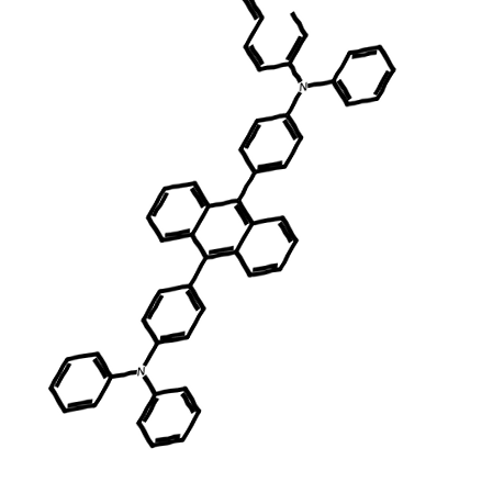 C=C/C=C\C(=C/C)N(c1ccccc1)c1ccc(-c2c3ccccc3c(-c3ccc(N(c4ccccc4)c4ccccc4)cc3)c3ccccc23)cc1